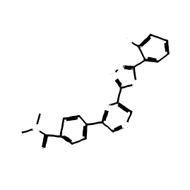 CN(C)C(=O)c1ccc(-c2cncc(-c3nnc(-c4ccccc4N)o3)n2)cc1